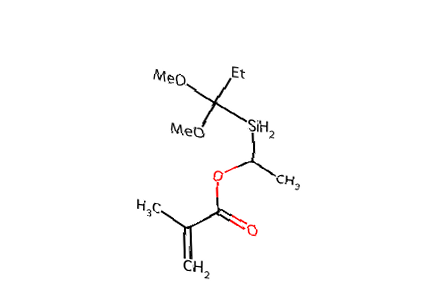 C=C(C)C(=O)OC(C)[SiH2]C(CC)(OC)OC